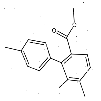 COC(=O)c1ccc(C)c(C)c1-c1ccc(C)cc1